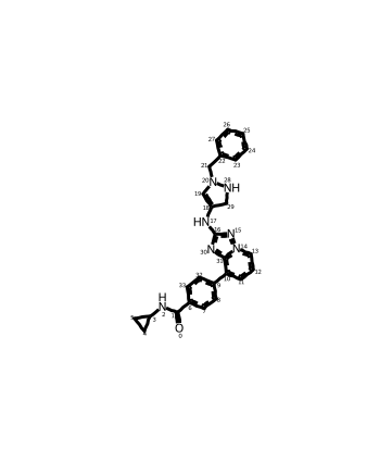 O=C(NC1CC1)c1ccc(-c2cccn3nc(NC4=CN(Cc5ccccc5)NC4)nc23)cc1